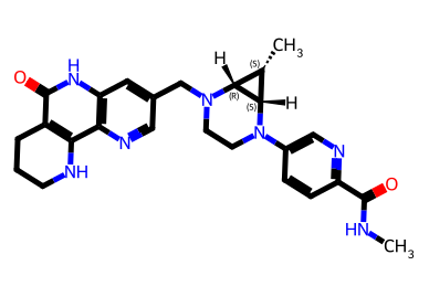 CNC(=O)c1ccc(N2CCN(Cc3cnc4c5c(c(=O)[nH]c4c3)CCCN5)[C@@H]3[C@H](C)[C@@H]32)cn1